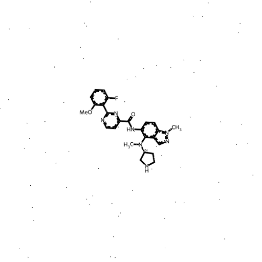 COc1cccc(F)c1-c1nccc(C(=O)Nc2ccc3c(cnn3C)c2N(C)[C@H]2CCNC2)n1